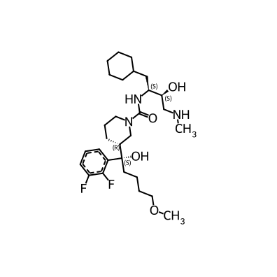 CNC[C@H](O)[C@H](CC1CCCCC1)NC(=O)N1CCC[C@@H]([C@@](O)(CCCCOC)c2cccc(F)c2F)C1